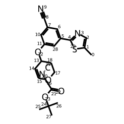 Cc1cnc(-c2cc(C#N)cc(OC3C=C4OCC3CN4C(=O)OC(C)(C)C)c2)s1